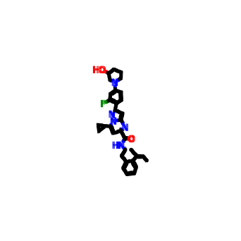 C/C=C(/C)c1ccccc1CCNC(=O)c1cc(C2CC2)n2nc(-c3ccc(N4CCCC(O)C4)cc3F)cc2n1